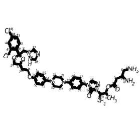 CC(OC(=O)CC(N)CN)C(C)n1ncn(-c2ccc(N3CCN(c4ccc(OCCC5COC(CN6C=NCN6)(c6ccc(Cl)cc6Cl)O5)cc4)CC3)cc2)c1=O